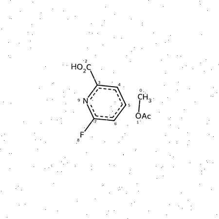 COC(C)=O.O=C(O)c1cccc(F)n1